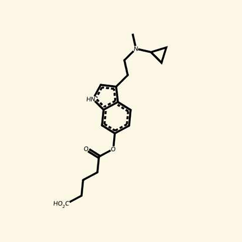 CN(CCc1c[nH]c2cc(OC(=O)CCCC(=O)O)ccc12)C1CC1